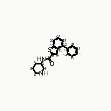 O=C(NC1CCCNC1)c1cc2c(-c3ccccc3)cccc2s1